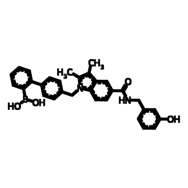 Cc1c(C)n(Cc2ccc(-c3ccccc3B(O)O)cc2)c2ccc(C(=O)NCc3cccc(O)c3)cc12